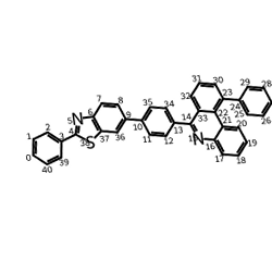 c1ccc(-c2nc3ccc(-c4ccc(-c5nc6ccccc6c6c(-c7ccccc7)cccc56)cc4)cc3s2)cc1